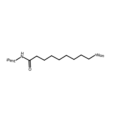 [CH2]C(CCC)NC(=O)CCCCCCCCCCCCCCCCC